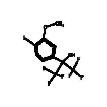 COc1cc(C(O)(C(F)(F)F)C(F)(F)F)ccc1I